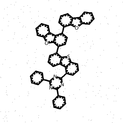 c1ccc(-c2nc(-c3ccccc3)nc(-c3cccc4sc5c(-c6ccc(-c7cccc8c7oc7ccccc78)c7c6oc6ccccc67)cccc5c34)n2)cc1